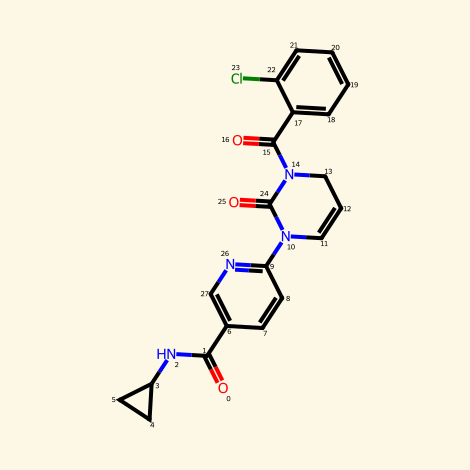 O=C(NC1CC1)c1ccc(N2C=CCN(C(=O)c3ccccc3Cl)C2=O)nc1